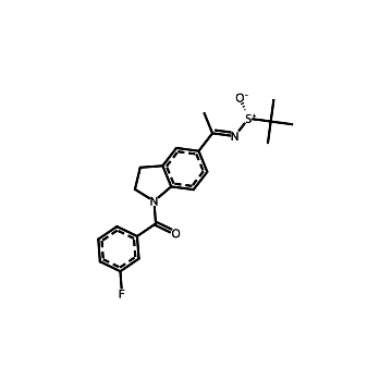 C/C(=N\[S@+]([O-])C(C)(C)C)c1ccc2c(c1)CCN2C(=O)c1cccc(F)c1